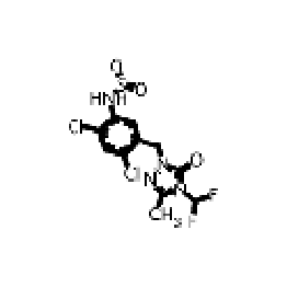 Cc1nn(Cc2cc(N[SH](=O)=O)c(Cl)cc2Cl)c(=O)n1C(F)F